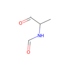 CC([C]=O)NC=O